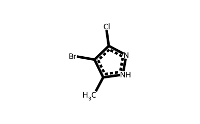 Cc1[nH]nc(Cl)c1Br